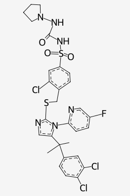 CC(C)(c1ccc(Cl)c(Cl)c1)c1cnc(SCc2ccc(S(=O)(=O)NC(=O)NN3CCCC3)cc2Cl)n1-c1ccc(F)cn1